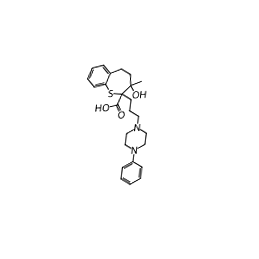 CC1(O)CCc2ccccc2SC1(CCCN1CCN(c2ccccc2)CC1)C(=O)O